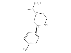 CC(C(=O)O)[C@@H]1CCN[C@@H](c2ccc(C(F)(F)F)cc2)C1